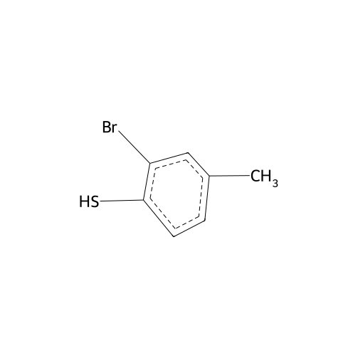 Cc1ccc(S)c(Br)c1